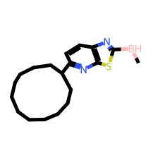 CBc1nc2ccc(C3CCCCCCCCCCC3)nc2s1